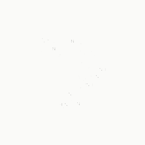 Nc1ncc(NC(=O)c2n[nH]c3ccc(-c4cncc(CN5CCOCC5)c4)cc23)cn1